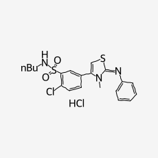 CCCCNS(=O)(=O)c1cc(-c2cs/c(=N/c3ccccc3)n2C)ccc1Cl.Cl